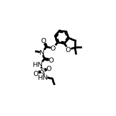 CCNS(=O)(=O)NC(=O)N(C)C(=O)Oc1cccc2c1OC(C)(C)C2